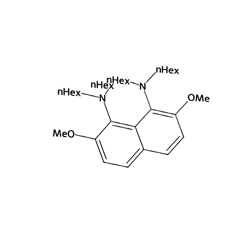 CCCCCCN(CCCCCC)c1c(OC)ccc2ccc(OC)c(N(CCCCCC)CCCCCC)c12